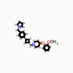 COc1ccccc1OC1CCN(C[C@H]2C[C@H](c3ccc(CN4CCCC4)cc3)C2)CC1